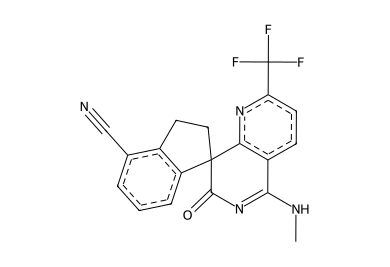 CNC1=NC(=O)C2(CCc3c(C#N)cccc32)c2nc(C(F)(F)F)ccc21